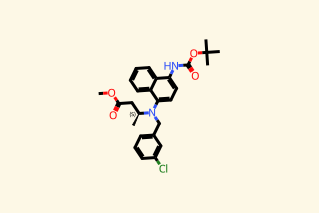 COC(=O)C[C@H](C)N(Cc1cccc(Cl)c1)c1ccc(NC(=O)OC(C)(C)C)c2ccccc12